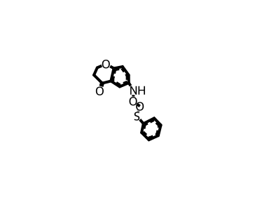 O=C1CCOc2ccc(NOOSc3ccccc3)cc21